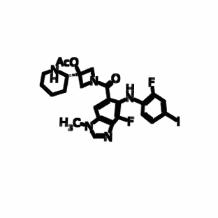 CC(=O)OC1([C@@H]2CCCCN2)CN(C(=O)c2cc3c(ncn3C)c(F)c2Nc2ccc(I)cc2F)C1